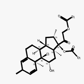 CCC(=O)OCC(=O)[C@@]1(OC(=O)CC)[C@@H](C)C[C@H]2[C@@H]3CCC4=CC(C)C=C[C@]4(C)[C@@]3(Cl)[C@@H](O)C[C@@]21C